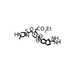 CCOC(=O)CC1CN(S(=O)(=O)c2ccc3ccc(C(=N)N)cc3c2)CCN1C(=O)c1nc2c(s1)CNC(C)C2